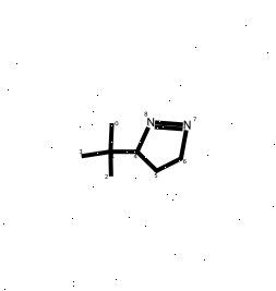 CC(C)(C)C1CCN=N1